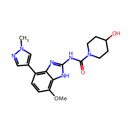 COc1ccc(-c2cnn(C)c2)c2nc(NC(=O)N3CCC(O)CC3)[nH]c12